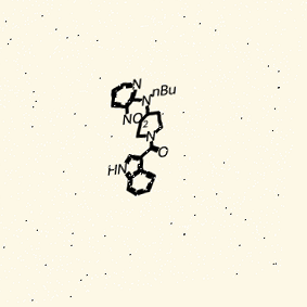 CCCCN(c1ncccc1[N+](=O)[O-])C1CCN(C(=O)c2c[nH]c3ccccc23)CC1